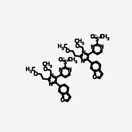 COCCc1nc(-c2ccc3ccoc3c2)c(-c2ccnc([S+](C)[O-])n2)n1COC.COCCc1nc(-c2ccc3ccoc3c2)c(-c2ccnc([S+](C)[O-])n2)n1COC